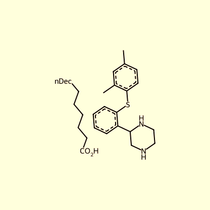 CCCCCCCCCCCCCCCC(=O)O.Cc1ccc(Sc2ccccc2C2CNCCN2)c(C)c1